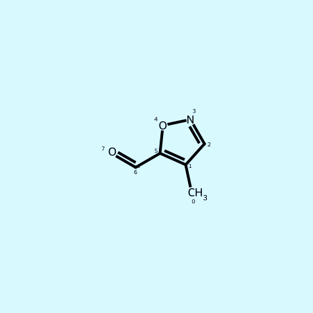 Cc1cnoc1[C]=O